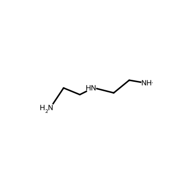 [NH]CCNCCN